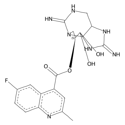 Cc1cc(C(=O)O[C@H]2CN3C(=N)NCC4NC(=N)NC43C2(O)O)c2cc(F)ccc2n1